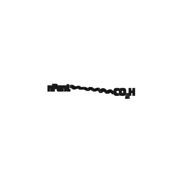 CCCCCC=CCCCCCCCC=CC=CCC(=O)O